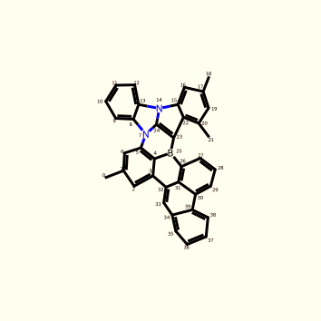 Cc1cc2c3c(c1)-n1c4ccccc4n4c5cc(C)cc(C)c5c(c14)B3c1cccc3c1c-2cc1ccccc13